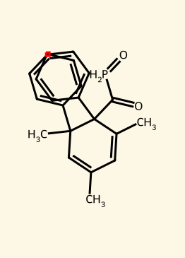 CC1=CC(C)(c2ccccc2)C(C(=O)[PH2]=O)(c2ccccc2)C(C)=C1